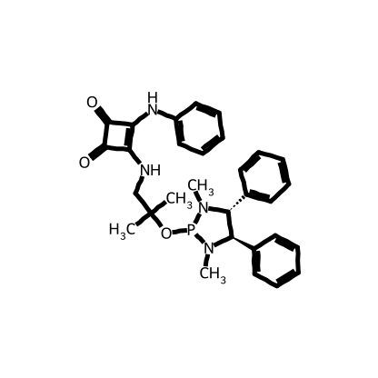 CN1[C@H](c2ccccc2)[C@@H](c2ccccc2)N(C)P1OC(C)(C)CNc1c(Nc2ccccc2)c(=O)c1=O